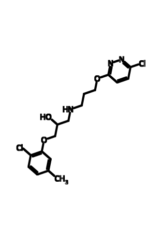 Cc1ccc(Cl)c(OCC(O)CNCCCOc2ccc(Cl)nn2)c1